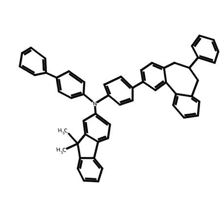 CC1(C)c2ccccc2-c2ccc(N(c3ccc(-c4ccccc4)cc3)c3ccc(-c4ccc5c(c4)-c4ccccc4CC(c4ccccc4)C5)cc3)cc21